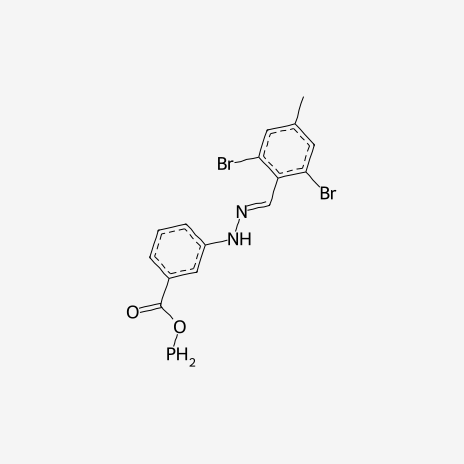 Cc1cc(Br)c(/C=N/Nc2cccc(C(=O)OP)c2)c(Br)c1